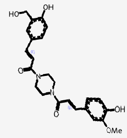 COc1cc(/C=C/C(=O)N2CCN(C(=O)/C=C/c3ccc(O)c(CO)c3)CC2)ccc1O